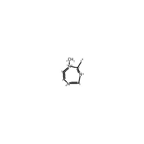 C[N+]1=C=CN=CN=C1I